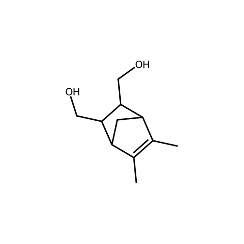 CC1=C(C)C2CC1C(CO)C2CO